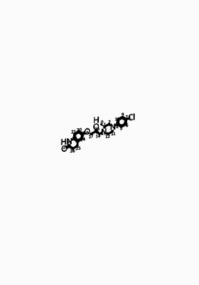 C[C@H]1CN(c2ccc(Cl)cc2)CCN1CC(O)COc1ccc2c(c1)CCC(=O)N2